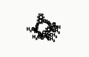 Cc1c2c(nn1C)CN([S+](C)[O-])Cc1cc(n(C)n1)CSc1cc(c3ccccc3c1)OCCCc1c(C(=O)O)n(C)c3c-2c(Cl)ccc13